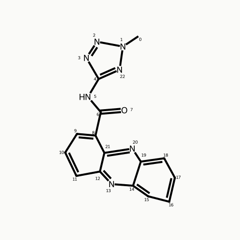 Cn1nnc(NC(=O)c2cccc3nc4ccccc4nc23)n1